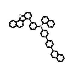 c1cc(-c2cccc3oc4c5ccccc5ccc4c23)cc(N(c2ccc(-c3ccc(-c4ccc5ccccc5c4)cc3)cc2)c2cccc3ccccc23)c1